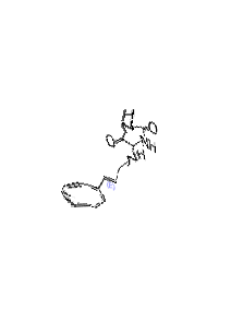 O=C1NC(=O)C(NC/C=C/c2ccccc2)N1